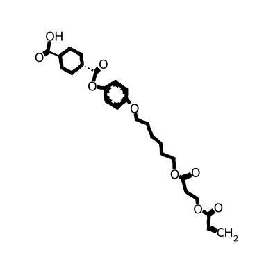 C=CC(=O)OCCC(=O)OCCCCCCOc1ccc(OC(=O)[C@H]2CC[C@H](C(=O)O)CC2)cc1